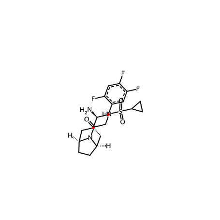 N[C@@H](Cc1cc(F)c(F)cc1F)[C@@H]1C[C@H]2CC[C@@H](C1)N2C(=O)CNS(=O)(=O)C1CC1